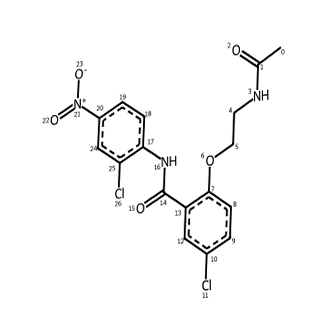 CC(=O)NCCOc1ccc(Cl)cc1C(=O)Nc1ccc([N+](=O)[O-])cc1Cl